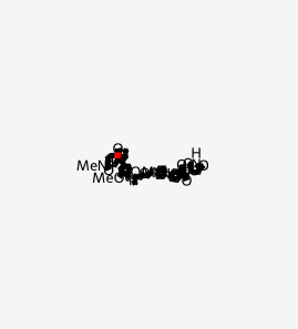 CNC(=O)N1CCc2c(c(-c3cc(OC)c(CN(C)CCOCCN4CCN(c5ccc6c(c5)C(=O)N(C5CCC(=O)NC5=O)C6=O)CC4)c(OC)c3)cn(C)c2=O)C1